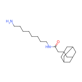 NCCCCCCCCNC(=O)CC12CC3CC(CC(C3)C1)C2